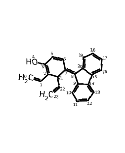 C=CC1=C(O)C=CC(=C2c3ccccc3-c3ccccc32)C1C=C